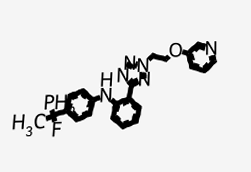 CC(F)(P)c1ccc(Nc2ccccc2-c2nnn(CCOc3cccnc3)n2)cc1